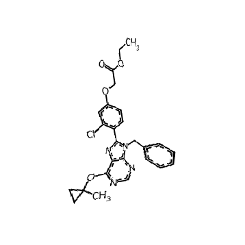 CCOC(=O)COc1ccc(-c2nc3c(OC4(C)CC4)ncnc3n2Cc2ccccc2)c(Cl)c1